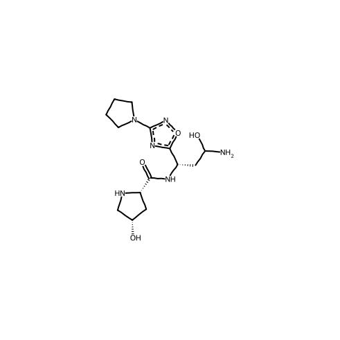 NC(O)C[C@H](NC(=O)[C@@H]1C[C@H](O)CN1)c1nc(N2CCCC2)no1